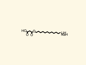 CCCCCCCCCCCCOC(=O)CC(=O)O.[LiH].[NaH]